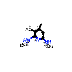 CC(=O)c1c(C)cc(NC(C)(C)C)nc1NC(C)(C)C